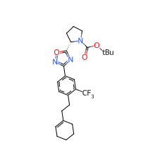 CC(C)(C)OC(=O)N1CCC[C@H]1c1nc(-c2ccc(CCC3=CCCCC3)c(C(F)(F)F)c2)no1